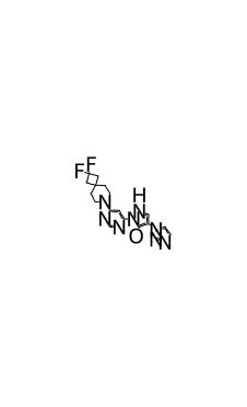 O=c1c(-n2ccnn2)c[nH]n1-c1cc(N2CCC3(CC2)CC(F)(F)C3)ncn1